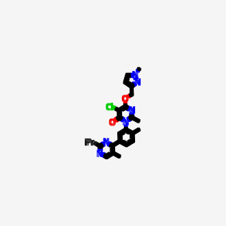 Cc1ccc(-c2nc(C(C)C)ncc2C)cc1-n1c(C)nc(OCc2ccn(C)n2)c(Cl)c1=O